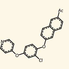 CC(=O)c1ccc2cc(Oc3ccc(Oc4ccncc4)cc3Cl)ccc2c1